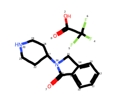 O=C(O)C(F)(F)F.O=C1c2ccccc2CN1C1CCNCC1